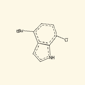 CC(C)(C)c1ccc(Cl)c2[nH]ccc12